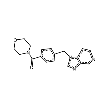 O=C(c1ccc(Cn2cnc3cnccc32)cc1)N1CCOCC1